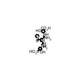 N/C(=C\NC1=CC=C(C(=O)O)C(O)C1)c1cc(C(=O)N2CCCCC2)cc(/C(N)=C/Nc2ccc(C(=O)O)c(O)c2)n1